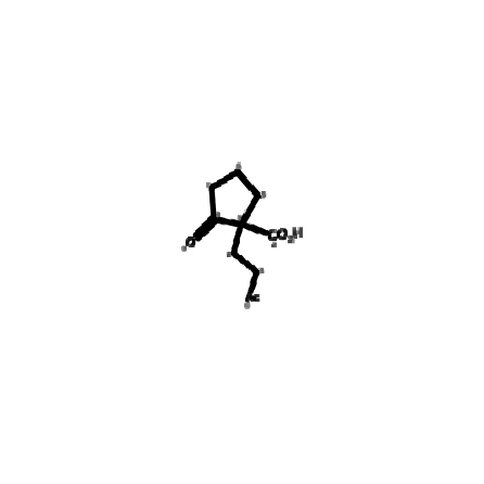 CC(=O)CCC1(C(=O)O)CCCC1=O